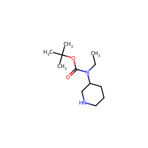 CCN(C(=O)OC(C)(C)C)C1CCCNC1